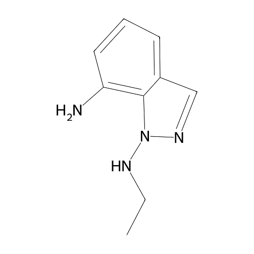 CCNn1ncc2cccc(N)c21